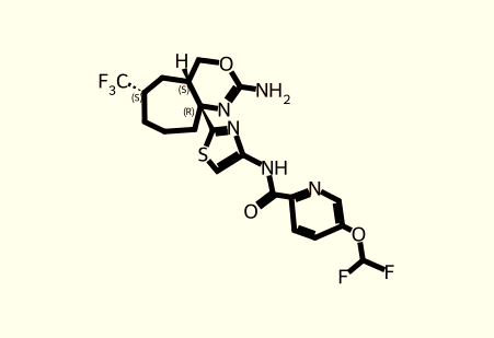 NC1=N[C@]2(c3nc(NC(=O)c4ccc(OC(F)F)cn4)cs3)CCC[C@H](C(F)(F)F)C[C@@H]2CO1